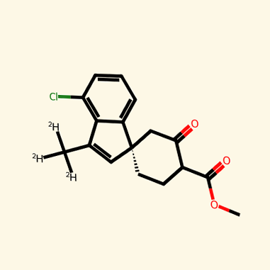 [2H]C([2H])([2H])C1=C[C@@]2(CCC(C(=O)OC)C(=O)C2)c2cccc(Cl)c21